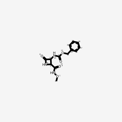 CONC(=O)C1NC(=O)C1NC(=O)OCc1ccccc1